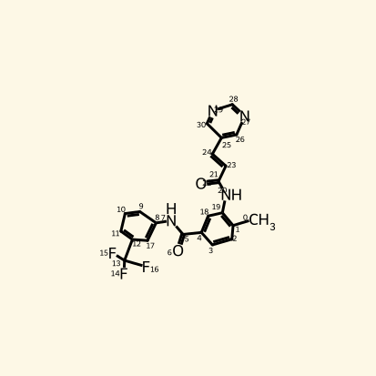 Cc1ccc(C(=O)Nc2cccc(C(F)(F)F)c2)cc1NC(=O)/C=C/c1cncnc1